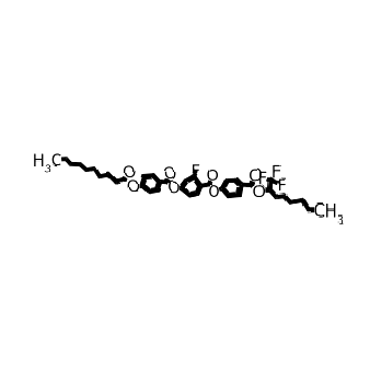 CCCCCCCCCC(=O)Oc1ccc(C(=O)Oc2ccc(C(=O)Oc3ccc(C(=O)OC(CCCCCC)C(F)(F)F)cc3)c(F)c2)cc1